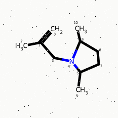 C=C(C)CN1C(C)CCC1C